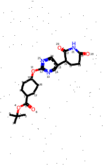 CC(C)(C)OC(=O)C1CCC(Oc2ncc(C3CCC(=O)NC3=O)cn2)CC1